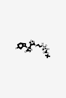 CC(C)(C)OC(=O)NS(=O)(=O)NCCSc1nonc1-c1noc(=O)n1C1Cc2ccc(F)cc21